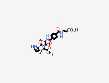 CC(C)[C@H](NC(=O)c1ccc(C(=O)NCCC(=O)O)cc1)C(=O)N(C(=O)[C@@H]1CCCN1)C(C)C(=O)C(F)(F)F